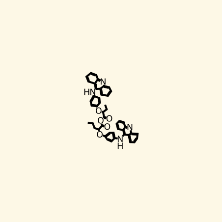 CCCC(Oc1ccc(Nc2c3ccccc3nc3ccccc23)cc1)C(=O)OC(=O)C(CC)Oc1ccc(Nc2c3ccccc3nc3ccccc23)cc1